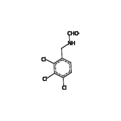 O=[C]NCc1ccc(Cl)c(Cl)c1Cl